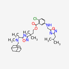 CC(C)Cc1noc(CNc2ccc(Cl)c(C(=O)OCCC(C)(C)c3noc(C(C)N(C)CC45CC6CC(CC(C6)C4)C5)n3)c2)n1